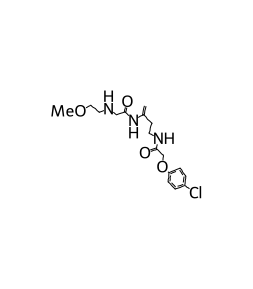 C=C(CCNC(=O)COc1ccc(Cl)cc1)NC(=O)CNCCOC